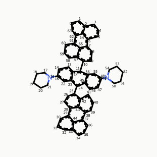 c1cc2cccc3c4ccc(-c5c6ccc(N7CCCCC7)cc6c(-c6ccc7c8cccc9cccc(c%10cccc6c%107)c98)c6ccc(N7CCCCC7)cc56)c5cccc(c(c1)c23)c54